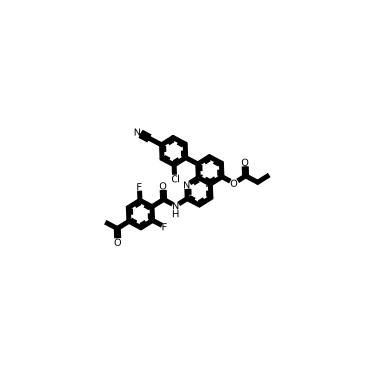 CCC(=O)Oc1ccc(-c2ccc(C#N)cc2Cl)c2nc(NC(=O)c3c(F)cc(C(C)=O)cc3F)ccc12